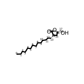 CCCCCCCCCCCCCC[C@H]1C[C@@H](CO)OC1=O